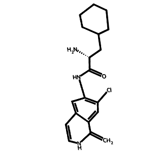 C=C1NC=Cc2cc(NC(=O)[C@H](N)CC3CCCCC3)c(Cl)cc21